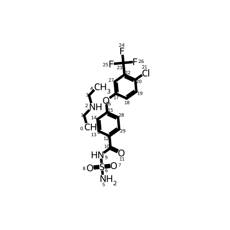 CCNCC.NS(=O)(=O)NC(=O)c1ccc(Oc2ccc(Cl)c(C(F)(F)F)c2)cc1